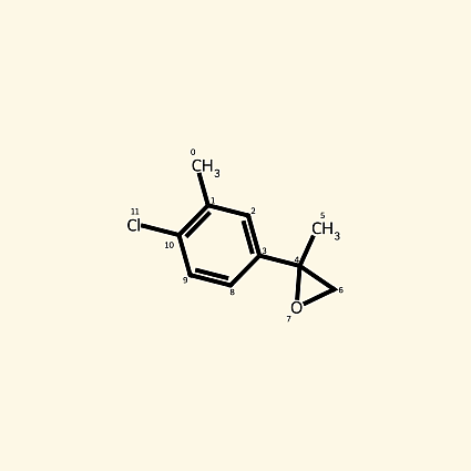 Cc1cc(C2(C)CO2)ccc1Cl